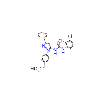 O=C(O)Cc1ccc(-n2nc(-c3cccs3)cc2NC(=O)Nc2cccc(Cl)c2Cl)cc1